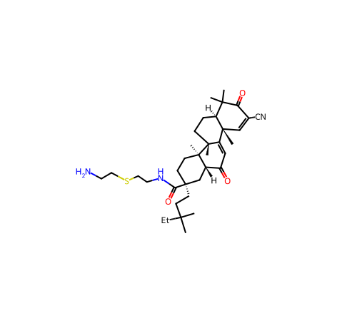 CCC(C)(C)CC[C@]1(C(=O)NCCSCCN)CC[C@]2(C)[C@@H](C1)C(=O)C=C1[C@@]3(C)C=C(C#N)C(=O)C(C)(C)[C@@H]3CC[C@]12C